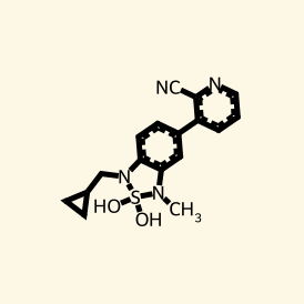 CN1c2cc(-c3cccnc3C#N)ccc2N(CC2CC2)S1(O)O